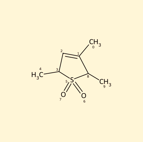 CC1=CC(C)S(=O)(=O)C1C